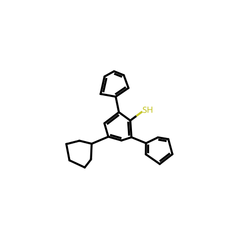 Sc1c(-c2ccccc2)cc(C2CCCCC2)cc1-c1ccccc1